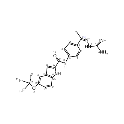 C/C(=N/NC(=N)N)c1ccc(NC(=O)c2cc3cc(OC(F)(F)F)ccc3[nH]2)cc1